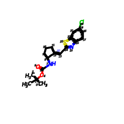 CC(C)(C)OC(=O)NC1CCC/C1=C\c1nc2ccc(Cl)cc2s1